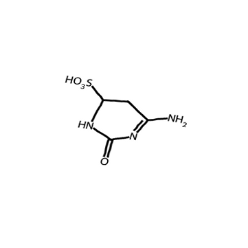 NC1=NC(=O)NC(S(=O)(=O)O)C1